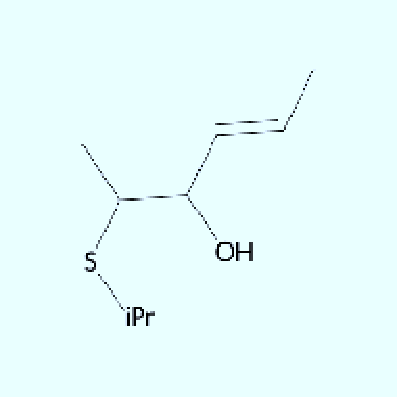 CC=CC(O)C(C)SC(C)C